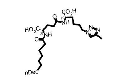 CCCCCCCCCCCCCCCC(=O)N[C@@H](CCC(=O)N[C@@H](CCCCn1cc(C)nn1)C(=O)O)C(=O)O